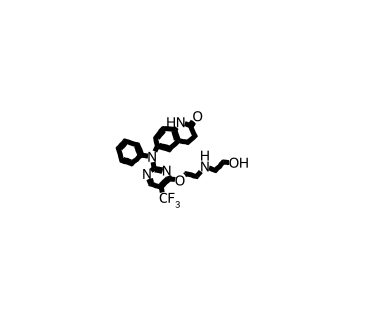 O=C1CCc2cc(N(c3ccccc3)c3ncc(C(F)(F)F)c(OCCNCCO)n3)ccc2N1